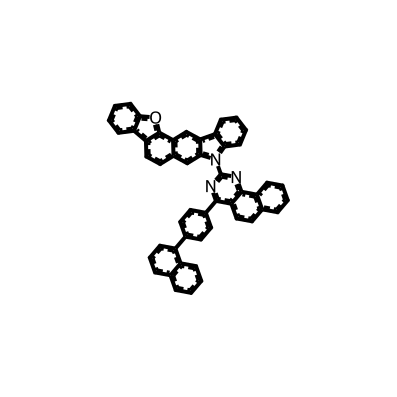 c1ccc2c(-c3ccc(-c4nc(-n5c6ccccc6c6cc7c(ccc8c9ccccc9oc78)cc65)nc5c4ccc4ccccc45)cc3)cccc2c1